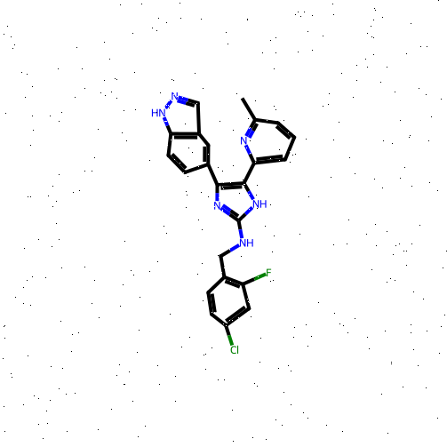 Cc1cccc(-c2[nH]c(NCc3ccc(Cl)cc3F)nc2-c2ccc3[nH]ncc3c2)n1